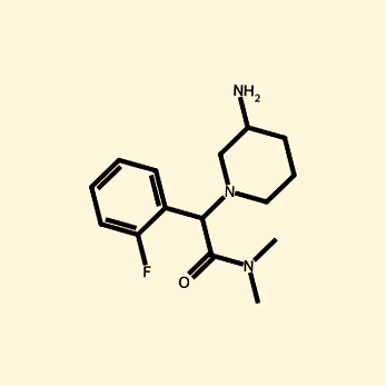 CN(C)C(=O)C(c1ccccc1F)N1CCCC(N)C1